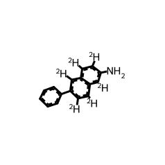 [2H]c1c(-c2ccccc2)c([2H])c2c([2H])c([2H])c(N)c([2H])c2c1[2H]